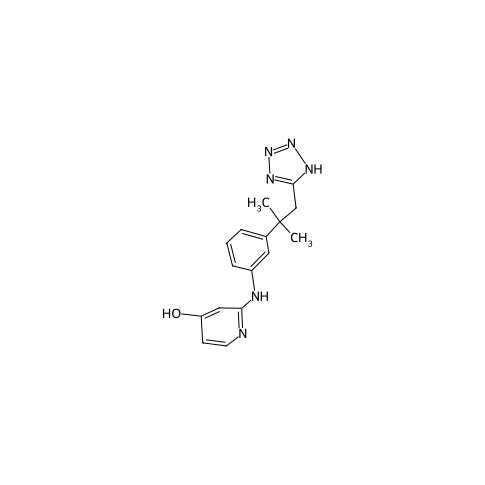 CC(C)(Cc1nnn[nH]1)c1cccc(Nc2cc(O)ccn2)c1